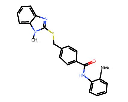 CNc1ccccc1NC(=O)c1ccc(CSc2nc3ccccc3n2C)cc1